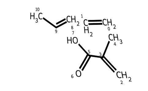 C=C.C=C(C)C(=O)O.C=CC